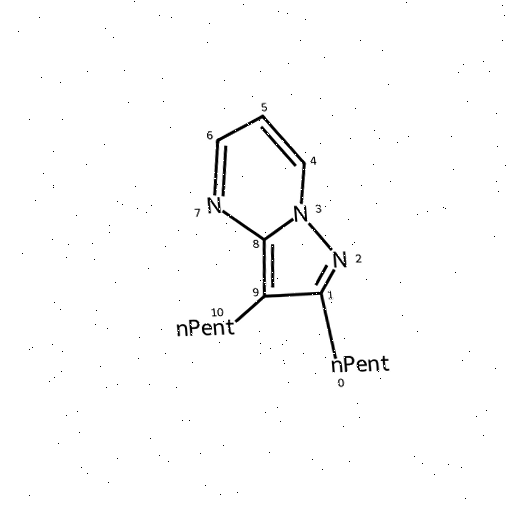 CCCCCc1nn2cccnc2c1CCCCC